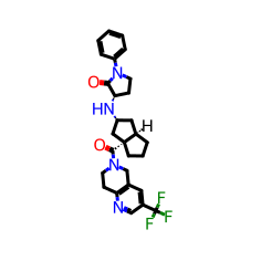 O=C1[C@@H](N[C@@H]2C[C@H]3CCC[C@@]3(C(=O)N3CCc4ncc(C(F)(F)F)cc4C3)C2)CCN1c1ccccc1